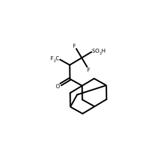 O=C(C(C(F)(F)F)C(F)(F)S(=O)(=O)O)C12CC3CC(CC(C3)C1)C2